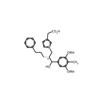 COc1cc(C(O)[C@H](CCCc2ccccc2)Cn2ccc(CC(=O)O)c2)cc(OC)c1C